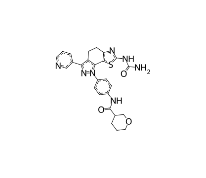 NC(=O)Nc1nc2c(s1)-c1c(c(-c3cccnc3)nn1-c1ccc(NC(=O)C3CCCOC3)cc1)CC2